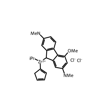 CNc1ccc2c(c1)[CH]([Zr+2]([C]1=CC=CC1)[CH](C)C)c1cc(NC)cc(OC)c1-2.[Cl-].[Cl-]